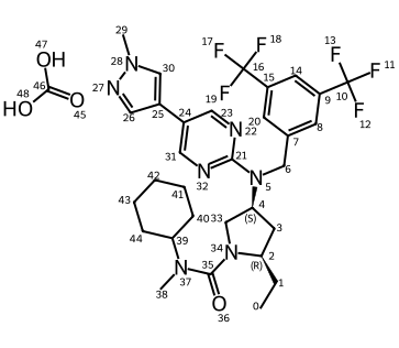 CC[C@@H]1C[C@H](N(Cc2cc(C(F)(F)F)cc(C(F)(F)F)c2)c2ncc(-c3cnn(C)c3)cn2)CN1C(=O)N(C)C1CCCCC1.O=C(O)O